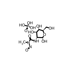 CN(N=O)C(=O)N[C@@H]1[C@@H](O)[C@H](O)[C@@H](CO)O[C@@H]1O.O=P(O)(O)O